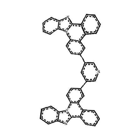 c1ccc2c(c1)nc1c3ccccc3c3cc(-c4cncc(-c5ccc6c(c5)c5ccccc5c5nc7ccccc7n65)c4)ccc3n21